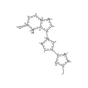 Cc1nnc(-c2cnn(-c3cnn4ccc(=O)[nH]c34)c2)o1